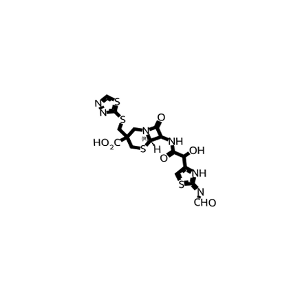 O=CN=c1[nH]c(C(O)C(=O)NC2C(=O)N3CC(CSc4nncs4)(C(=O)O)CS[C@H]23)cs1